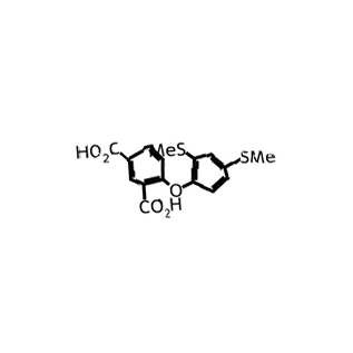 CSc1ccc(Oc2ccc(C(=O)O)cc2C(=O)O)c(SC)c1